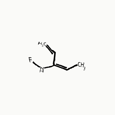 C=C/C(=C\C)NF